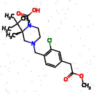 COC(=O)Cc1ccc(CN2CCN(C(=O)O)[C@@](C)(C(C)(C)C)C2)c(Cl)c1